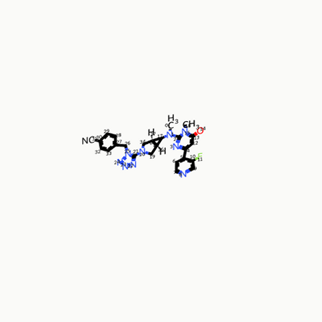 CN(c1nc(-c2ccncc2F)cc(=O)n1C)C1[C@H]2CN(c3nnnn3Cc3ccc(C#N)cc3)C[C@@H]12